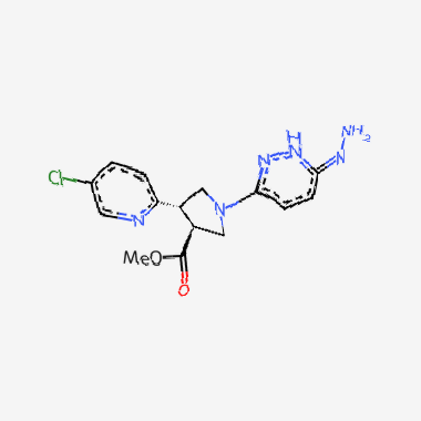 COC(=O)[C@@H]1CN(c2cc/c(=N/N)[nH]n2)C[C@H]1c1ccc(Cl)cn1